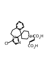 Clc1cnc2n1CCc1ccccc1C21CCNCC1.O=C(O)C=CC(=O)O